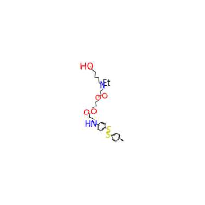 CCN(CCCCCO)CCC(=O)OCCCCOC(=O)CCNc1ccc(SSc2ccc(C)cc2)cc1